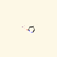 COc1ccnc(OP(C)C)c1